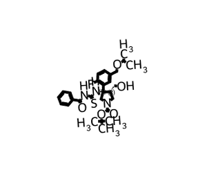 CC(C)OCc1ccc(F)c([C@]2(NC(=S)NC(=O)c3ccccc3)CN(C(=O)OC(C)(C)C)C[C@H]2CO)c1